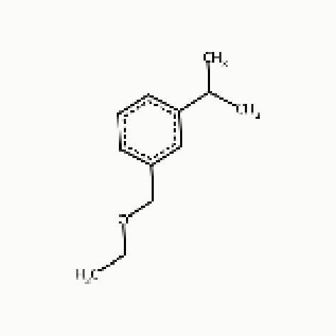 CCOCc1cccc(C(C)C)c1